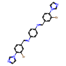 Brc1cc(/C=N/c2ccc(/N=C/c3ccc(-n4ccnc4)c(Br)c3)cc2)ccc1-n1ccnc1